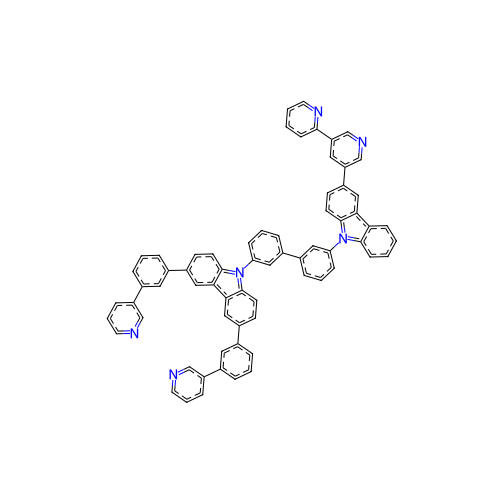 c1ccc(-c2cncc(-c3ccc4c(c3)c3ccccc3n4-c3cccc(-c4cccc(-n5c6ccc(-c7cccc(-c8cccnc8)c7)cc6c6cc(-c7cccc(-c8cccnc8)c7)ccc65)c4)c3)c2)nc1